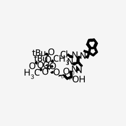 CC(OC(=O)C(C)(C)C)OP(=O)(COC[C@@H]1C[C@@H](O)[C@H](n2ncc3c(N4CC5(CCc6ccccc65)C4)nc(Cl)nc32)O1)OC(C)OC(=O)C(C)(C)C